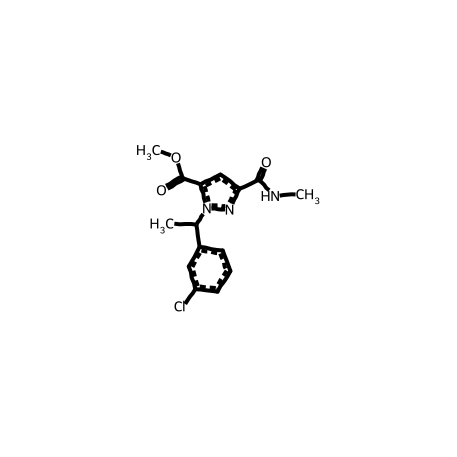 CNC(=O)c1cc(C(=O)OC)n(C(C)c2cccc(Cl)c2)n1